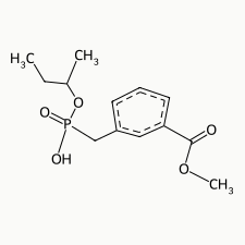 CCC(C)OP(=O)(O)Cc1cccc(C(=O)OC)c1